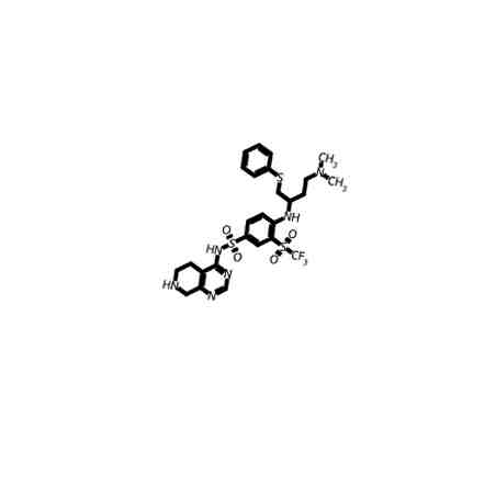 CN(C)CCC(CSc1ccccc1)Nc1ccc(S(=O)(=O)Nc2ncnc3c2CCNC3)cc1S(=O)(=O)C(F)(F)F